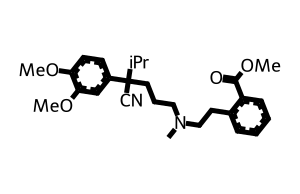 COC(=O)c1ccccc1CCN(C)CCCC(C#N)(c1ccc(OC)c(OC)c1)C(C)C